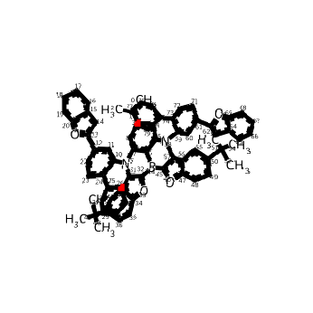 CC(C)c1cc2c3c(c1)N(c1cc(-c4cc5ccccc5o4)ccc1-c1ccccc1)c1c(oc4ccc(C(C)(C)C)cc14)B3c1oc3ccc(C(C)(C)C)cc3c1N2c1cc(-c2cc3ccccc3o2)ccc1-c1ccccc1